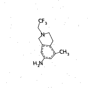 Cc1cc(N)cc2c1CCN(CC(F)(F)F)C2